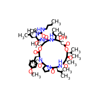 CCCCNC(=O)N(C)[C@H](CC(C)C)C(=O)N[C@@H]1C(=O)NC([C@@H](C)CC)[C@@H](O)CC(=O)O[C@@H](C(C)C)C(=O)[C@H](C)C(=O)N[C@@H](CC(C)C)C(=O)N2CCCC2C(=O)N(C)[C@@H](Cc2ccc(OC)cc2)C(=O)O[C@@H]1C